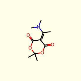 CC(=C1C(=O)OC(C)(C)OC1=O)N(C)C